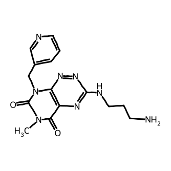 Cn1c(=O)c2nc(NCCCN)nnc2n(Cc2cccnc2)c1=O